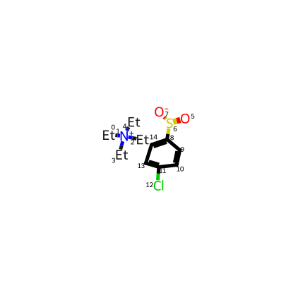 CC[N+](CC)(CC)CC.O=S([O-])c1ccc(Cl)cc1